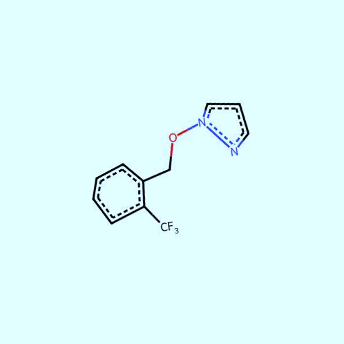 FC(F)(F)c1ccccc1COn1cccn1